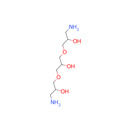 NCC(O)COCC(O)COCC(O)CN